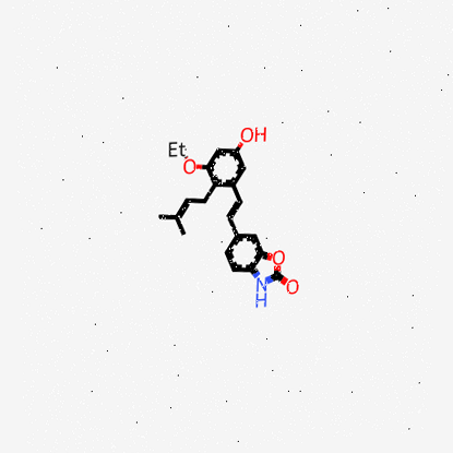 CCOc1cc(O)cc(C=Cc2ccc3[nH]c(=O)oc3c2)c1CC=C(C)C